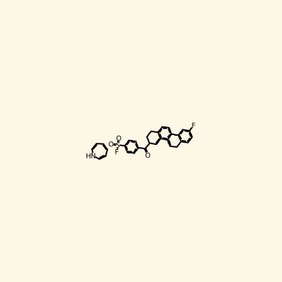 C1=CC=CNC=C1.O=C(c1ccc(S(=O)(=O)F)cc1)C1C=c2c(ccc3c2=CCc2ccc(F)cc2-3)CC1